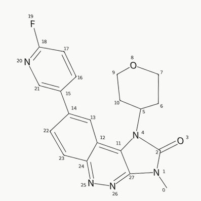 Cn1c(=O)n(C2CCOCC2)c2c3cc(-c4ccc(F)nc4)ccc3nnc21